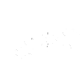 FC(F)Cn1ncc2ncc(NC3C[C@@H]4CN(c5cncc(C(F)(F)F)n5)C[C@@H]4C3)nc21